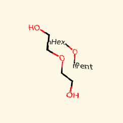 CCCCCCOCCCCC.OCCOCCO